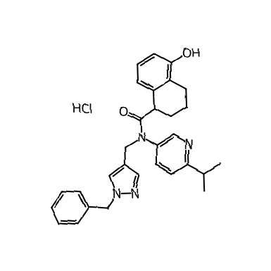 CC(C)c1ccc(N(Cc2cnn(Cc3ccccc3)c2)C(=O)C2CCCc3c(O)cccc32)cn1.Cl